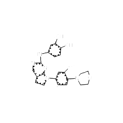 Cc1ccc(Nc2ncc3ccn(-c4ccc(N5CCOCC5)c(F)c4)c3n2)cc1C